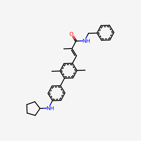 C/C(=C\c1cc(C)c(-c2ccc(NC3CCCC3)cc2)cc1C)C(=O)NCc1ccccc1